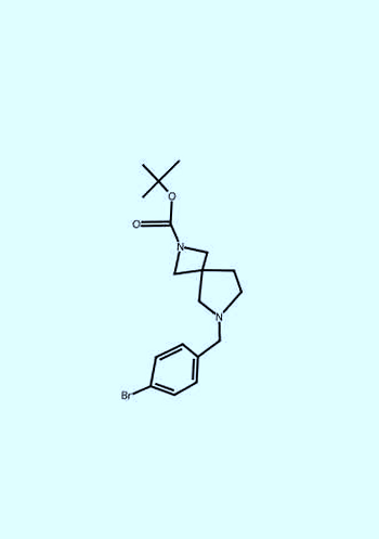 CC(C)(C)OC(=O)N1CC2(CCN(Cc3ccc(Br)cc3)C2)C1